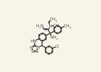 C=CN(C)/C(=C\N)C(N)(c1ccc(C)cc1)c1ccc2c(c1)C(c1cccc(Cl)c1)n1nnnc1N2